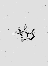 CCN1C=CN(C)C1N(C(F)(F)F)S(=O)(=O)C(F)(F)F